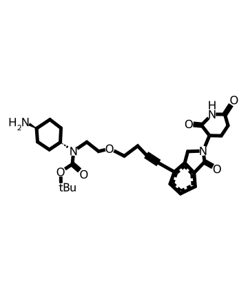 CC(C)(C)OC(=O)N(CCOCCC#Cc1cccc2c1CN(C1CCC(=O)NC1=O)C2=O)[C@H]1CC[C@H](N)CC1